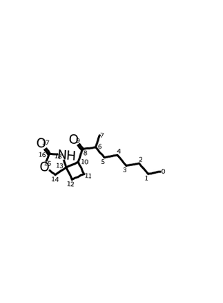 CCCCCCC(C)C(=O)C1CCC12COC(=O)N2